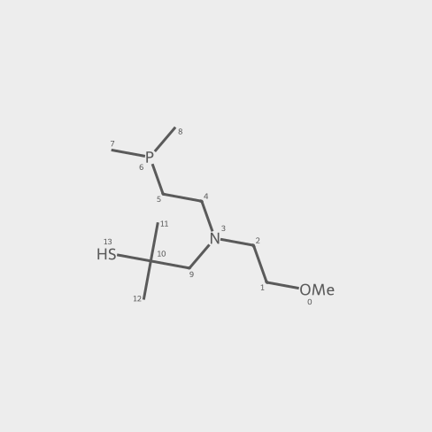 COCCN(CCP(C)C)CC(C)(C)S